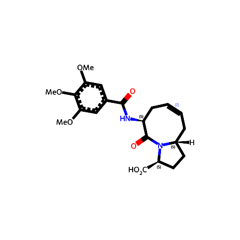 COc1cc(C(=O)N[C@H]2C/C=C\C[C@@H]3CC[C@@H](C(=O)O)N3C2=O)cc(OC)c1OC